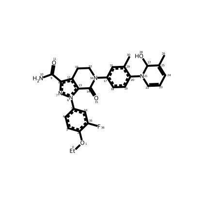 CCOc1ccc(-n2nc(C(N)=O)c3c2C(=O)N(c2ccc(N4C=CC=C(C)C4O)c(C)c2)CC3)cc1F